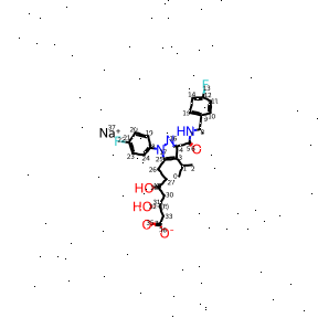 CC(C)c1c(C(=O)NCc2ccc(F)cc2)nn(-c2ccc(F)cc2)c1CC[C@@H](O)C[C@@H](O)CC(=O)[O-].[Na+]